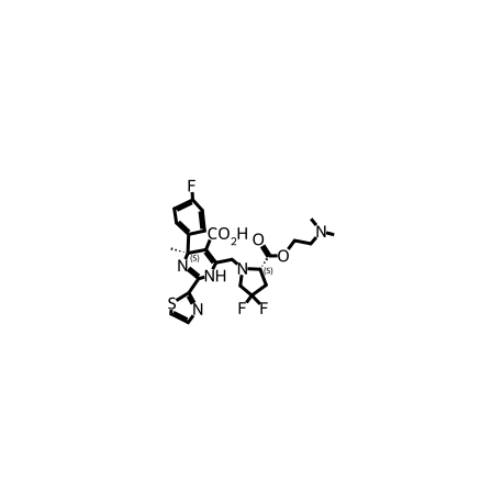 CN(C)CCOC(=O)[C@@H]1CC(F)(F)CN1CC1=C(C(=O)O)[C@](C)(c2ccc(F)cc2)N=C(c2nccs2)N1